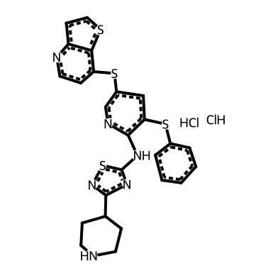 Cl.Cl.c1ccc(Sc2cc(Sc3ccnc4ccsc34)cnc2Nc2nc(C3CCNCC3)ns2)cc1